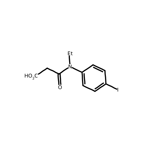 CCN(C(=O)CC(=O)O)c1ccc(I)cc1